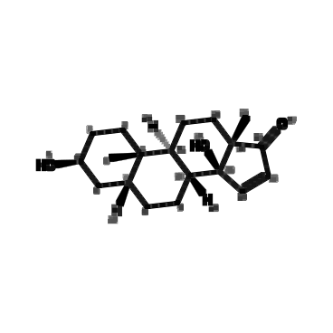 C[C@]12CC[C@H](O)C[C@H]1CC[C@@H]1[C@@H]2CC[C@]2(C)C(=O)C=C[C@]12O